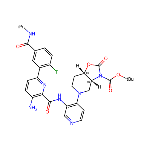 CC(C)NC(=O)c1ccc(F)c(-c2ccc(N)c(C(=O)Nc3cnccc3N3CC[C@@H]4OC(=O)N(C(=O)OC(C)(C)C)[C@@H]4C3)n2)c1